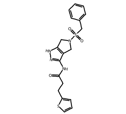 O=C(CCc1cccs1)Nc1n[nH]c2c1CN(S(=O)(=O)Cc1ccccc1)C2